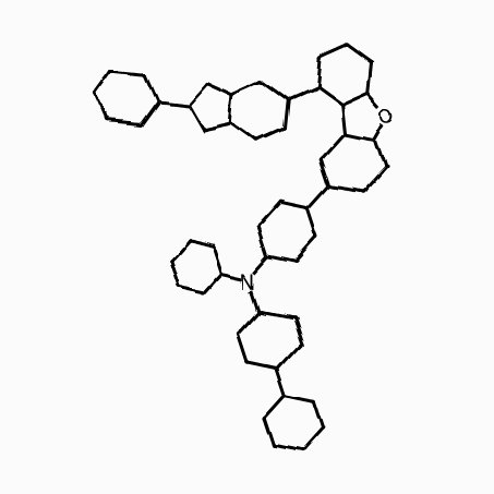 C1CCC(C2CCC(N(C3CCCCC3)C3CCC(C4CCC5OC6CCCC(C7CCC8CC(C9CCCCC9)CC8C7)C6C5C4)CC3)CC2)CC1